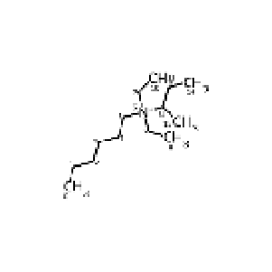 CCCCCC[N+](CC)(CC)C(C)CC